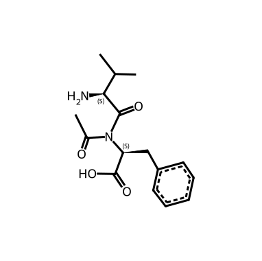 CC(=O)N(C(=O)[C@@H](N)C(C)C)[C@@H](Cc1ccccc1)C(=O)O